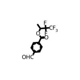 CC(OC(=O)c1ccc(C=O)cc1)C(F)(F)C(F)(F)F